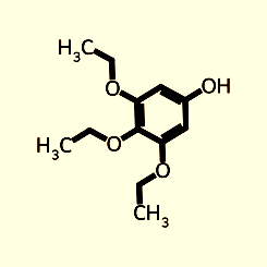 CCOc1cc(O)cc(OCC)c1OCC